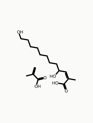 C=C(C)C(=O)O.CC(=CC(O)CCCCCCCCO)C(=O)O